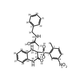 Cc1ccc([N+](=O)[O-])cc1S(=O)(=O)[C@]1(CC(=O)NCc2ccccc2)Nc2ccccc2NC1=O